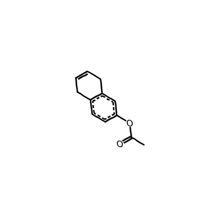 CC(=O)Oc1ccc2c(c1)CC=CC2